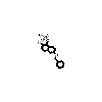 CS(=O)(=O)Oc1c(Br)ccc2cc(OCc3ccccc3)ccc12